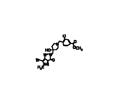 COC(=O)c1ccc(CN2CCC(O)(Cn3cnc4c(Br)n(C)nc4c3=O)CC2)c(Cl)c1